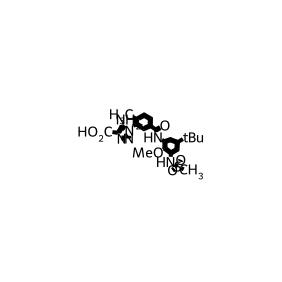 COc1c(NC(=O)c2ccc(C)c(-n3nnc(C(=O)O)c3N)c2)cc(C(C)(C)C)cc1NS(C)(=O)=O